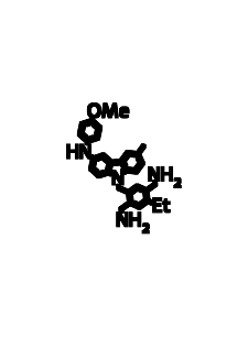 CCc1cc(CN)c(Cn2c3ccc(C)cc3c3cc(Nc4ccc(OC)cc4)ccc32)cc1CN